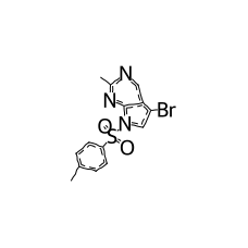 Cc1ccc(S(=O)(=O)n2cc(Br)c3cnc(C)nc32)cc1